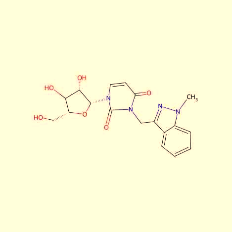 Cn1nc(Cn2c(=O)ccn([C@@H]3O[C@H](CO)C(O)[C@@H]3O)c2=O)c2ccccc21